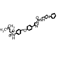 CN(C)CCS(=O)(=O)Nc1ccc(COc2ccc(-c3cn(C(=O)NCC4CN(c5ccccc5)C4)cn3)cc2)cc1